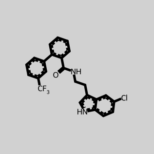 O=C(NCCc1c[nH]c2ccc(Cl)cc12)c1ccccc1-c1cccc(C(F)(F)F)c1